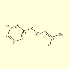 CC/C(C)=C/OCc1ccccc1